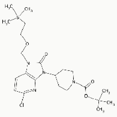 CC(C)(C)OC(=O)N1CCC(n2c(=O)n(COCC[Si](C)(C)C)c3ccc(Cl)nc32)CC1